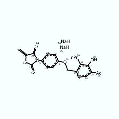 C=C1SC(=S)N(c2ccc(OCc3ccc(C(C)=O)c(O)c3CCC)cc2)C1=O.[NaH].[NaH]